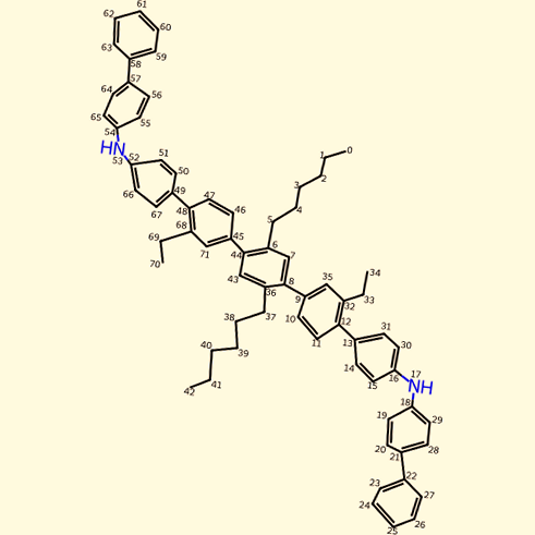 CCCCCCc1cc(-c2ccc(-c3ccc(Nc4ccc(-c5ccccc5)cc4)cc3)c(CC)c2)c(CCCCCC)cc1-c1ccc(-c2ccc(Nc3ccc(-c4ccccc4)cc3)cc2)c(CC)c1